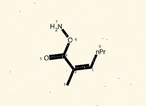 CCCC=C(C)C(=O)ON